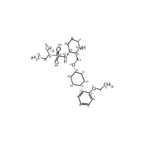 CCOc1ccccc1[C@H]1CC[C@@H](OC[C@@H]2NCCC[C@@H]2NS(=O)(=O)[C@H](C)CC)CC1